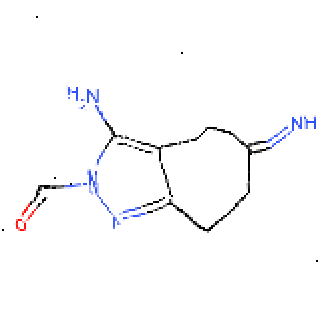 N=C1CCc2nn(C=O)c(N)c2C1